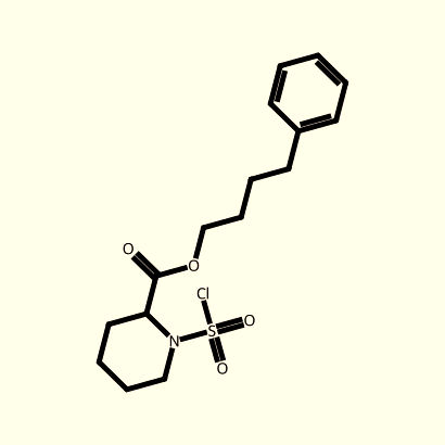 O=C(OCCCCc1ccccc1)C1CCCCN1S(=O)(=O)Cl